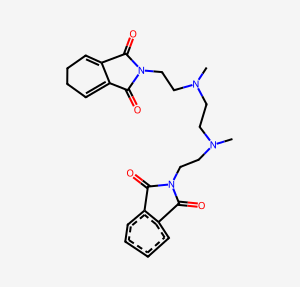 CN(CCN(C)CCN1C(=O)c2ccccc2C1=O)CCN1C(=O)C2=CCCC=C2C1=O